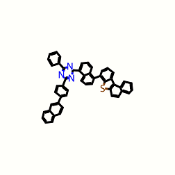 c1ccc(-c2nc(-c3ccc(-c4ccc5ccccc5c4)cc3)nc(-c3cccc4c(-c5cccc6c5sc5ccc7ccccc7c56)cccc34)n2)cc1